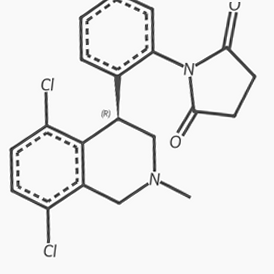 CN1Cc2c(Cl)ccc(Cl)c2[C@@H](c2ccccc2N2C(=O)CCC2=O)C1